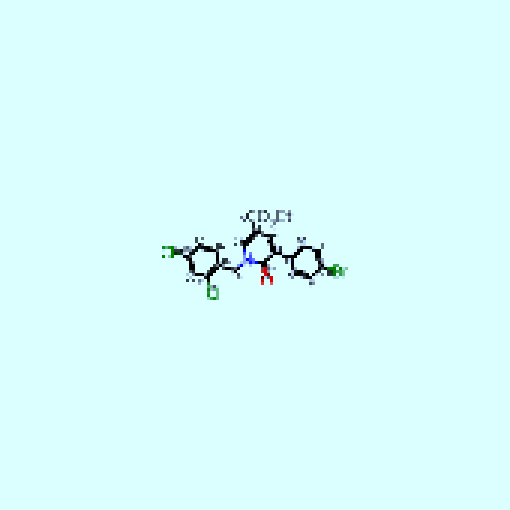 CCOC(=O)c1cc(-c2ccc(Br)cc2)c(=O)n(Cc2ccc(Cl)cc2Cl)c1